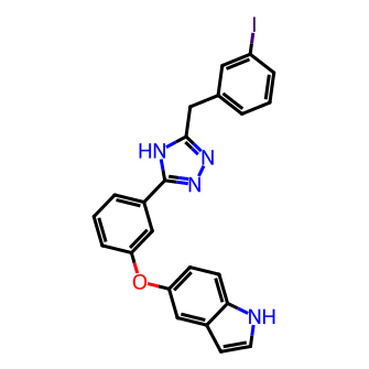 Ic1cccc(Cc2nnc(-c3cccc(Oc4ccc5[nH]ccc5c4)c3)[nH]2)c1